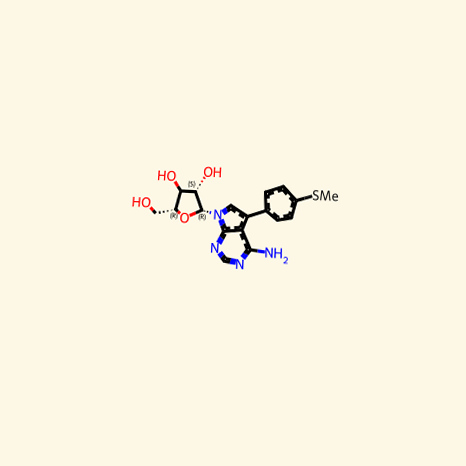 CSc1ccc(-c2cn([C@@H]3O[C@H](CO)C(O)[C@@H]3O)c3ncnc(N)c23)cc1